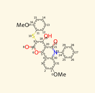 COc1ccc2c3oc(=O)c(Sc4ccccc4OC)c(O)c3c(=O)n(-c3ccccc3)c2c1